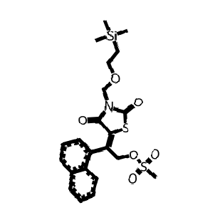 C[Si](C)(C)CCOCN1C(=O)S/C(=C(\COS(C)(=O)=O)c2cccc3ccccc23)C1=O